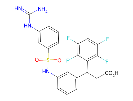 N=C(N)Nc1cccc(S(=O)(=O)Nc2cccc(C(CC(=O)O)c3c(F)c(F)cc(F)c3F)c2)c1